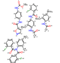 CC(C)(C)OC(=O)Nc1ccc(NC(=O)c2ccno2)cc1.COc1cc(NC(=O)c2ccccc2F)ccc1NC(=O)C(F)(F)F.COc1cc(NC(C)=O)ccc1NC(=O)C(F)(F)F.O=C(c1ccccc1F)N(C(=O)c1ccccc1F)c1ccc([N+](=O)[O-])cc1C(F)(F)F